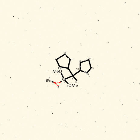 CO[Si](OC)(OC(C)C)C(C)(C1CCCC1)C1CCCC1